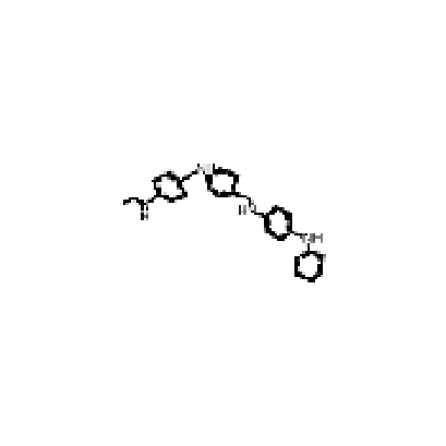 CCNc1ccc(Nc2ccc(CNc3ccc(Nc4ccccc4)cc3)cc2)cc1